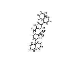 CN1c2ccc(-c3cccc4ccccc34)cc2S(=O)(=O)c2cc(-c3cccc4ccccc34)ccc21